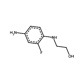 Nc1ccc(NCCO)c(F)c1